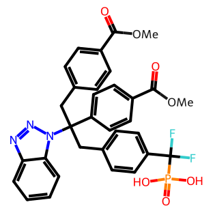 COC(=O)c1ccc(CC(Cc2ccc(C(F)(F)P(=O)(O)O)cc2)(c2ccc(C(=O)OC)cc2)n2nnc3ccccc32)cc1